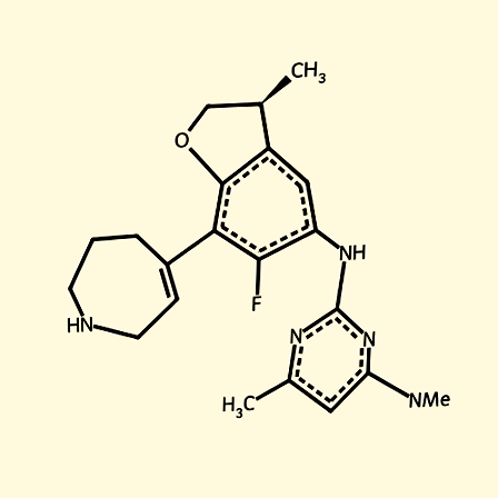 CNc1cc(C)nc(Nc2cc3c(c(C4=CCNCCC4)c2F)OC[C@H]3C)n1